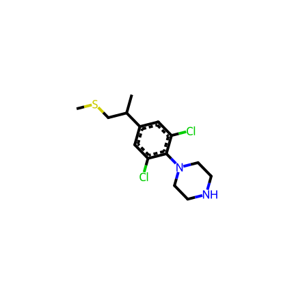 CSCC(C)c1cc(Cl)c(N2CCNCC2)c(Cl)c1